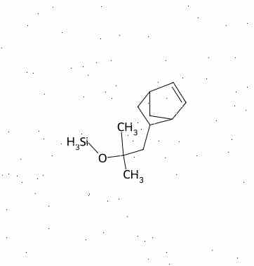 CC(C)(CC1CC2C=CC1C2)O[SiH3]